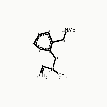 C=CN(C)Cc1ccccc1CNC